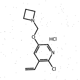 C=Cc1cc(OCN2CCC2)cnc1Cl.Cl